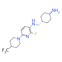 N[C@H]1CC[C@H](CNc2ccc(N3CCC(C(F)(F)F)CC3)nc2F)CC1